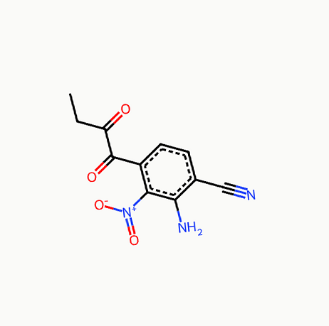 CCC(=O)C(=O)c1ccc(C#N)c(N)c1[N+](=O)[O-]